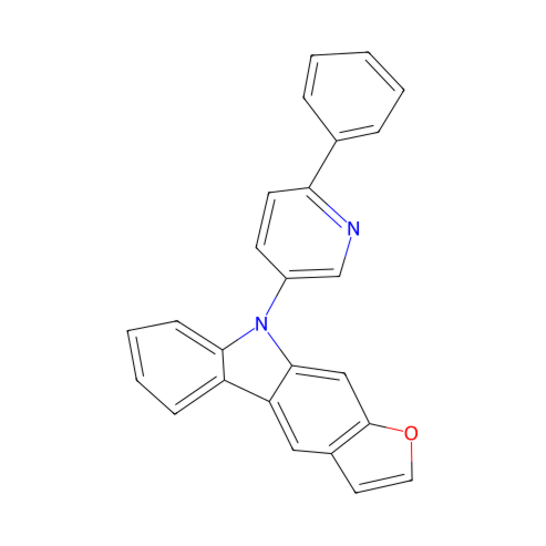 c1ccc(-c2ccc(-n3c4ccccc4c4cc5ccoc5cc43)cn2)cc1